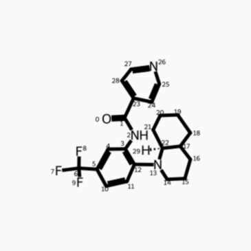 O=C(Nc1cc(C(F)(F)F)ccc1N1CCCC2CCCC[C@@H]21)c1ccncc1